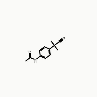 CC(=O)Nc1ccc(C(C)(C)C#N)cc1